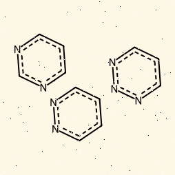 c1ccnnc1.c1cncnc1.c1cnnnc1